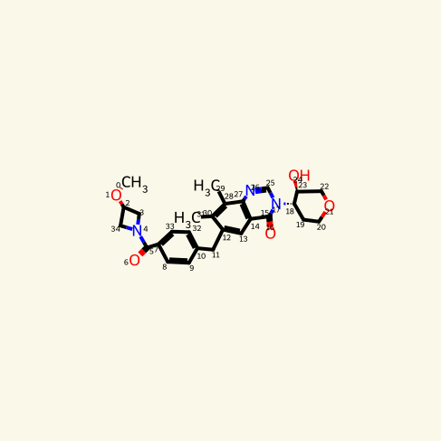 COC1CN(C(=O)c2ccc(Cc3cc4c(=O)n([C@H]5CCOC[C@@H]5O)cnc4c(C)c3C)cc2)C1